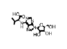 CC(C)[C@@H](Nc1ncnc2c1ncn2[C@@H]1O[C@H](CO)[C@H](O)C1O)C(=O)O